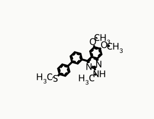 CNc1nc(-c2cccc(-c3ccc(SC)cc3)c2)c2cc(OC)c(OC)cc2n1